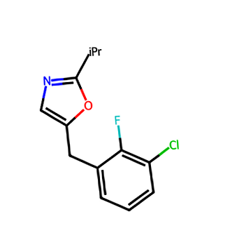 CC(C)c1ncc(Cc2cccc(Cl)c2F)o1